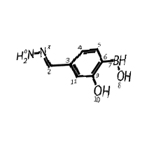 N/N=C/c1ccc(BO)c(O)c1